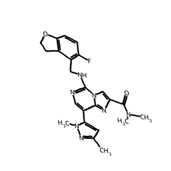 Cc1cc(-c2cnc(NCc3c(F)ccc4c3CCO4)n3cc(C(=O)N(C)C)nc23)n(C)n1